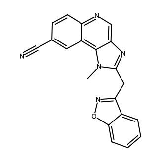 Cn1c(Cc2noc3ccccc23)nc2cnc3ccc(C#N)cc3c21